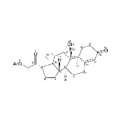 CC(=O)OCC(=O)[C@H]1CC[C@H]2[C@@H]3CCC4=CC(=O)CC[C@]4(C)[C@H]3[C@@H](O)C[C@]12C